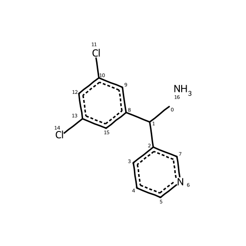 CC(c1cccnc1)c1cc(Cl)cc(Cl)c1.N